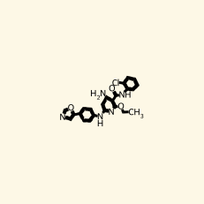 CCOc1nc(Nc2ccc(-c3cnco3)cc2)cc(N)c1C(=O)Nc1ccccc1Cl